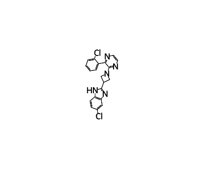 Clc1ccc2[nH]c(C3CN(c4nccnc4-c4ccccc4Cl)C3)nc2c1